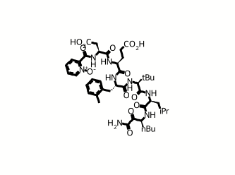 CCCC[C@H](NC(=O)[C@H](CC(C)C)NC(=O)[C@@H](NC(=O)[C@H](Cc1ccccc1C)NC(=O)[C@H](CCC(=O)O)NC(=O)[C@H](CC(=O)O)NC(=O)c1cccc[n+]1[O-])C(C)(C)C)C(=O)C(N)=O